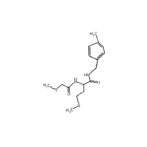 CSCCC(NC(=O)CSC)C(=O)NCc1ccc(C)cc1